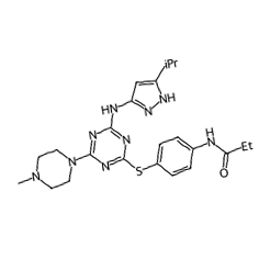 CCC(=O)Nc1ccc(Sc2nc(Nc3cc(C(C)C)[nH]n3)nc(N3CCN(C)CC3)n2)cc1